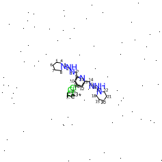 C(=NNN1CCCCC1)c1cccc(C=NNN2CCCCC2)n1.[Cl-].[Cl-].[Cl-].[Fe+3]